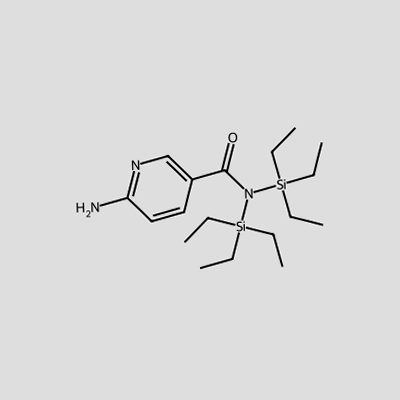 CC[Si](CC)(CC)N(C(=O)c1ccc(N)nc1)[Si](CC)(CC)CC